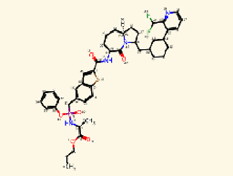 CCCOC(=O)[C@H](C)NP(=O)(Cc1ccc2sc(C(=O)N[C@H]3CCC[C@H]4CCC(CC5CCCC(c6cccnc6C(F)F)C5)N4C3=O)cc2c1)Oc1ccccc1